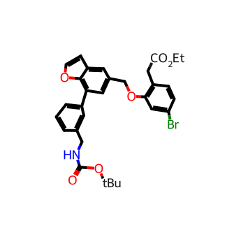 CCOC(=O)Cc1ccc(Br)cc1OCc1cc(-c2cccc(CNC(=O)OC(C)(C)C)c2)c2occc2c1